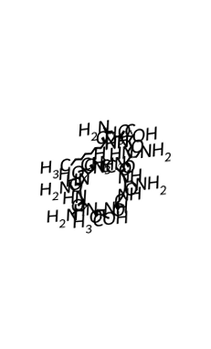 CCCCCCCCC(=O)N[C@@H](CCN)C(=O)N[C@H](C(=O)N[C@@H](CCN)C(=O)N[C@H]1CCNC(=O)[C@H]([C@@H](C)O)NC(=O)[C@H](CCN)NC(=O)[C@H](CCN)NC(=O)[C@H]([C@@H](C)O)NC(=O)CNC(=O)[C@H](CCN)NC1=O)[C@@H](C)O